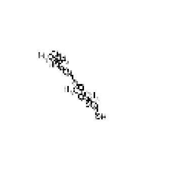 Cc1c(OCCCN2CCC3(CC2)CC(NC(=O)OC(C)(C)C)C3)cccc1-c1cccc(-c2nc3c(s2)CN(CCO)CC3)c1C